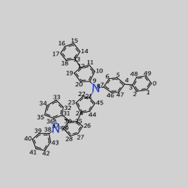 c1ccc(-c2ccc(N(c3ccc(-c4ccccc4)cc3)c3ccc(-c4cccc5c4c4ccccc4n5-c4ccccc4)cc3)cc2)cc1